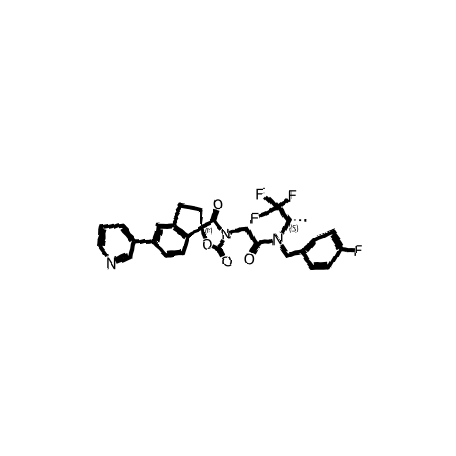 C[C@H](N(Cc1ccc(F)cc1)C(=O)CN1C(=O)O[C@@]2(CCc3cc(-c4cccnc4)ccc32)C1=O)C(F)(F)F